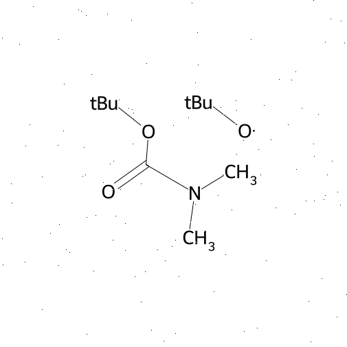 CC(C)(C)[O].CN(C)C(=O)OC(C)(C)C